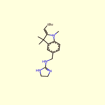 CN1C(=CC(C)(C)C)C(C)(C)c2cc(CNC3=NCCN3)ccc21